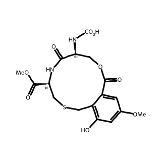 COC(=O)[C@@H]1CSCc2c(O)cc(OC)cc2C(=O)OC[C@H](NC(=O)O)C(=O)N1